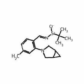 Cc1ccc(C=N[S+]([O-])C(C)(C)C)c(N2CC3CC3C2)c1